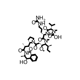 CC[C@H](C)[C@@H]([C@@H](CC(=O)N1CCC[C@H]1[C@H](OC)[C@@H](C)C(=O)N[C@H](C)[C@@H](O)c1ccccc1)OC)N(C)C(=O)[C@H](CCCNC(N)=O)NC(=O)[C@H](C(C)C)N(C)C(=O)O